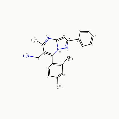 Cc1ccc(-c2c(CN)c(C)nc3cc(-c4ccccc4)nn23)c(C)c1